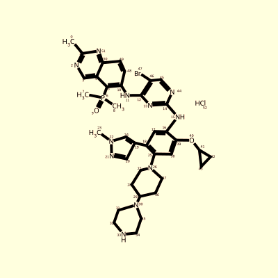 Cc1ncc2c(P(C)(C)=O)c(Nc3nc(Nc4cc(-c5cnn(C)c5)c(N5CCC(N6CCNCC6)CC5)cc4OC4CC4)ncc3Br)ccc2n1.Cl